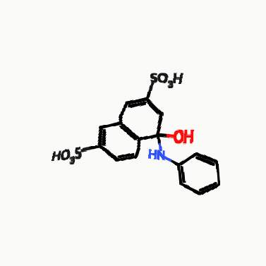 O=S(=O)(O)C1=Cc2cc(S(=O)(=O)O)ccc2C(O)(Nc2ccccc2)C1